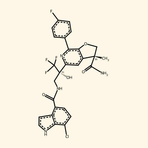 C[C@]1(C(N)=O)COc2c1cc([C@@](O)(CNC(=O)c1ccc(Cl)c3[nH]ccc13)C(F)(F)F)nc2-c1ccc(F)cc1